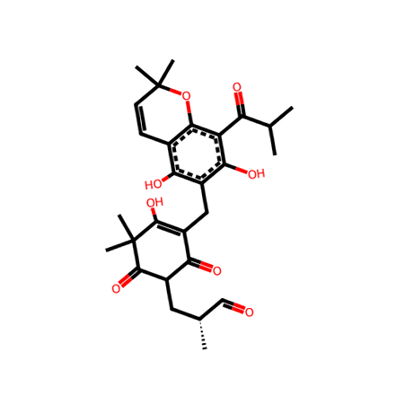 CC(C)C(=O)c1c(O)c(CC2=C(O)C(C)(C)C(=O)C(C[C@@H](C)C=O)C2=O)c(O)c2c1OC(C)(C)C=C2